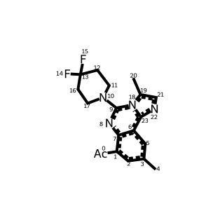 CC(=O)c1cc(C)cc2c1nc(N1CCC(F)(F)CC1)n1c(C)cnc21